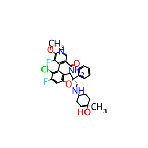 COc1ncc(C(N)=O)c(-c2c(Cl)c(F)cc3c2C[C@@](CN[C@H]2CC[C@](C)(O)CC2)(c2ccccc2)O3)c1F